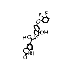 O=C1CCc2cc([C@H](O)CN3CC4=CC(Oc5cccc(F)c5F)=C[C@]4(O)C3)ccc2N1